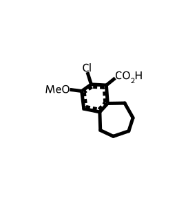 COc1cc2c(c(C(=O)O)c1Cl)CCCCC2